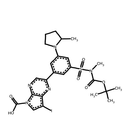 CC1CCCN1c1cc(-c2cnc3c(n2)c(I)cn3C(=O)O)cc(S(=O)(=O)N(C)C(=O)OC(C)(C)C)c1